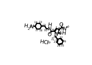 CNC(=O)c1cc(C(=O)NCCC2CCC(N)CC2)n([C@@H](C)c2ccccc2)n1.Cl